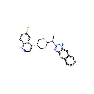 C[C@@H](c1nc2cc3ccccc3cc2[nH]1)[C@H]1CC[C@@H](c2ccnc3ccc(F)cc32)CC1